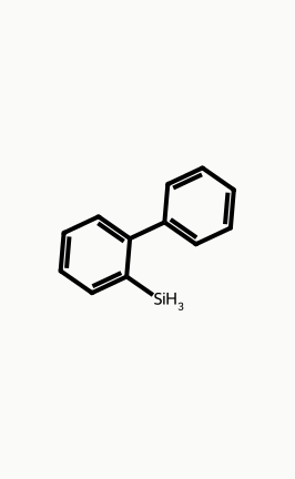 [SiH3]c1ccccc1-c1ccccc1